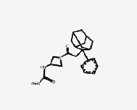 COC(=O)NC1CN(C(=O)CC2(c3ccccc3)C3CC4CC(C3)CC2C4)C1